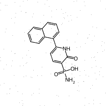 NP(=O)(O)c1ccc(-c2cccc3ccccc23)[nH]c1=O